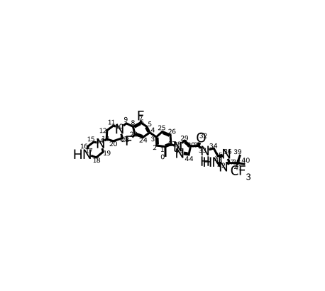 Cc1cc(-c2cc(F)c(CN3CCC(N4CCNCC4)CC3)c(F)c2)ccc1-n1cc(C(=O)NCc2nc(C(C)(C)C(F)(F)F)n[nH]2)cn1